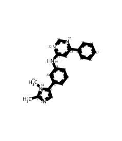 Cc1ncc(-c2cccc(Nc3cc(-c4ccccc4)ncn3)c2)n1C